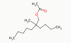 CCCCCC(C)(CCCC)COC(C)=O